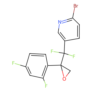 Fc1ccc(C2(C(F)(F)c3ccc(Br)nc3)CO2)c(F)c1